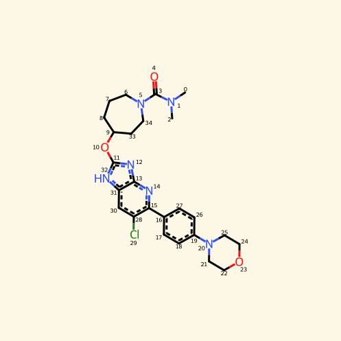 CN(C)C(=O)N1CCCC(Oc2nc3nc(-c4ccc(N5CCOCC5)cc4)c(Cl)cc3[nH]2)CC1